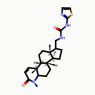 CN1C(=O)C=C[C@@]2(C)C1CC[C@@H]1[C@H]2CC[C@]2(C)C(CNC(=O)Nc3nccs3)CC[C@@H]12